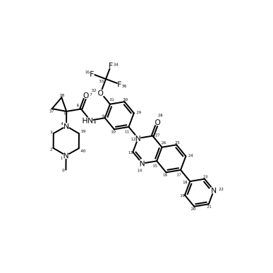 CN1CCN(C2(C(=O)Nc3cc(-n4cnc5cc(-c6cccnc6)ccc5c4=O)ccc3OC(F)(F)F)CC2)CC1